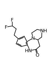 O=C1CC2CNCCN2c2cc(CCC(F)F)ccc2N1